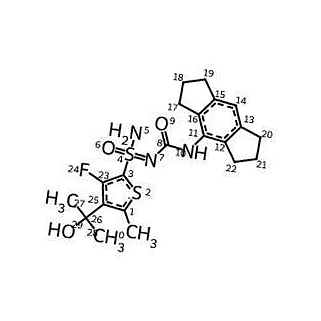 Cc1sc(S(N)(=O)=NC(=O)Nc2c3c(cc4c2CCC4)CCC3)c(F)c1C(C)(C)O